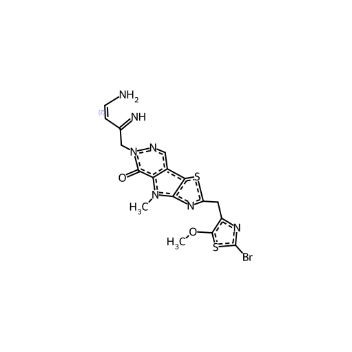 COc1sc(Br)nc1Cc1nc2c(s1)c1cnn(CC(=N)/C=C\N)c(=O)c1n2C